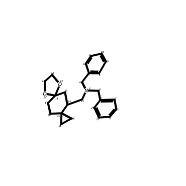 c1ccc(CN(Cc2ccccc2)CC2CC3(CCC24CC4)OCCO3)cc1